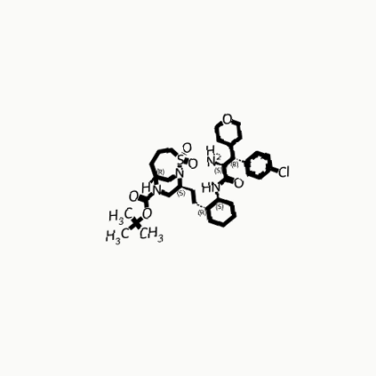 CC(C)(C)OC(=O)N1C[C@H](CC[C@H]2CCCC[C@@H]2NC(=O)[C@@H](N)[C@@H](c2ccc(Cl)cc2)C2CCOCC2)N2C[C@H]1CCCS2(=O)=O